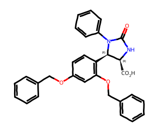 O=C(O)[C@@H]1NC(=O)N(c2ccccc2)[C@@H]1c1ccc(OCc2ccccc2)cc1OCc1ccccc1